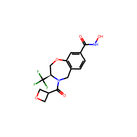 O=C(NO)c1ccc2c(c1)OC[C@H](C(F)(F)F)N(C(=O)C1COC1)C2